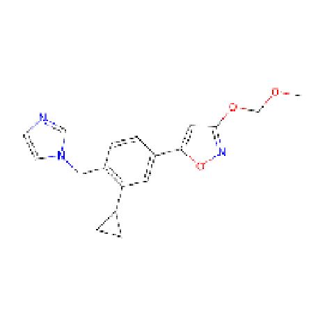 COCOc1cc(-c2ccc(Cn3ccnc3)c(C3CC3)c2)on1